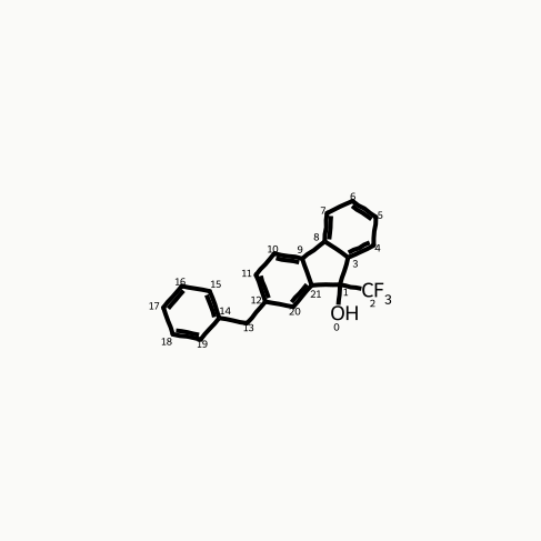 OC1(C(F)(F)F)c2ccccc2-c2ccc(Cc3ccccc3)cc21